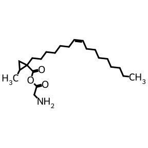 CCCCCCCC/C=C\CCCCCCC1(C(=O)OC(=O)CN)CC1C